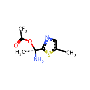 Cc1cnc([C@@](C)(N)OC(=O)C(F)(F)F)s1